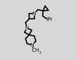 CC(C)CC1(CN2CC(CN3CC4(CCN(C)CC4)C3)C2)CC1